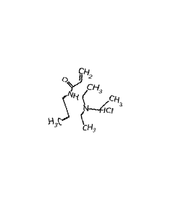 C=CC(=O)NCCC.CCN(CC)CC.Cl